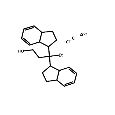 CCC(CCO)(C1CCC2C=CC=CC21)C1CCC2C=CC=CC21.[Cl-].[Cl-].[Zr+2]